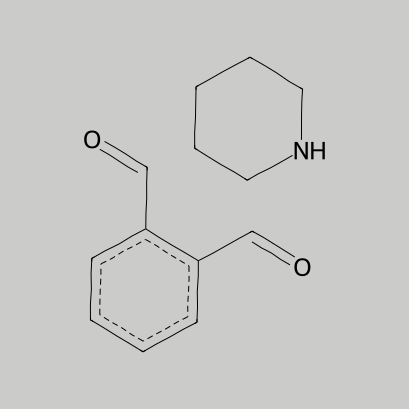 C1CCNCC1.O=Cc1ccccc1C=O